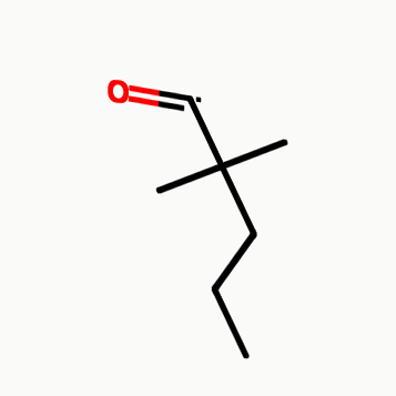 CCCC(C)(C)[C]=O